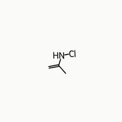 C=C(C)NCl